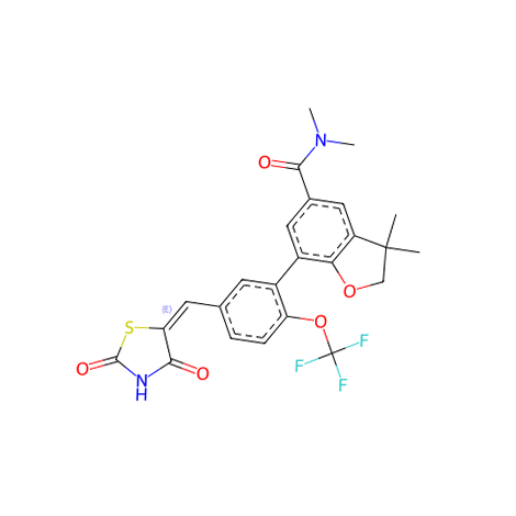 CN(C)C(=O)c1cc(-c2cc(/C=C3/SC(=O)NC3=O)ccc2OC(F)(F)F)c2c(c1)C(C)(C)CO2